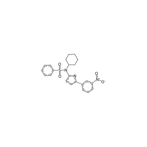 O=[N+]([O-])c1cccc(-c2csc(N(C3CCCCC3)S(=O)(=O)c3ccccc3)n2)c1